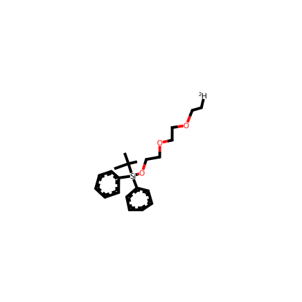 [2H]CCOCCOCCO[Si](c1ccccc1)(c1ccccc1)C(C)(C)C